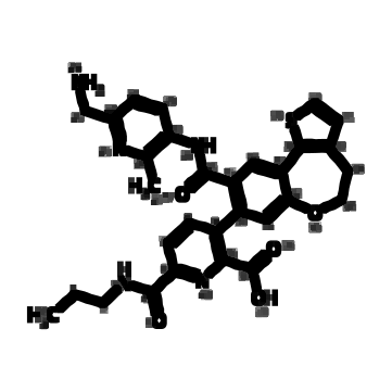 CCCNC(=O)c1ccc(-c2cc3c(cc2C(=O)Nc2ccc(CN)nc2C)-c2sccc2CCO3)c(C(=O)O)n1